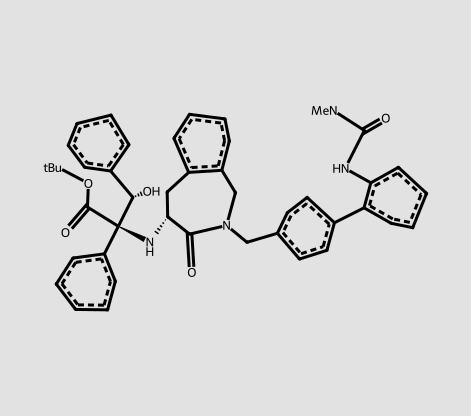 CNC(=O)Nc1ccccc1-c1ccc(CN2Cc3ccccc3C[C@@H](N[C@](C(=O)OC(C)(C)C)(c3ccccc3)[C@@H](O)c3ccccc3)C2=O)cc1